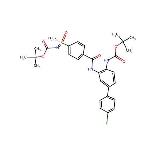 CC(C)(C)OC(=O)N=[S@@](C)(=O)c1ccc(C(=O)Nc2cc(-c3ccc(F)cc3)ccc2NC(=O)OC(C)(C)C)cc1